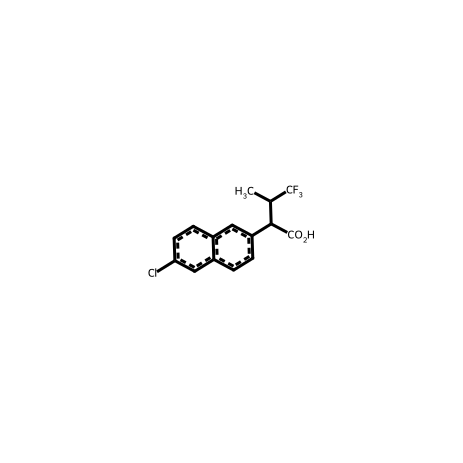 CC(C(C(=O)O)c1ccc2cc(Cl)ccc2c1)C(F)(F)F